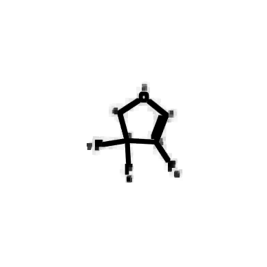 FC1=COCC1(F)F